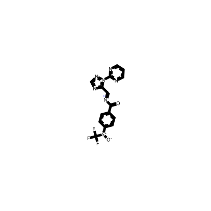 O=C(/N=C/c1ncnn1-c1ncccn1)c1ccc([S+]([O-])C(F)(F)F)cc1